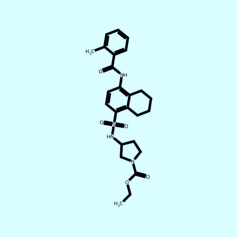 CCOC(=O)N1CCC(NS(=O)(=O)c2ccc(NC(=O)c3ccccc3C)c3c2CCCC3)C1